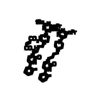 CCCc1cc(N2CCN(CCCCn3ccc(-c4ccccc4C)nc3=O)CC2)nc(C(C)(C)C)n1.CCCc1cc(N2CCN(CCCCn3ccc(-c4ccccc4C)nc3=O)CC2)nc(C(C)(C)C)n1.O=C(O)C=CC(=O)O